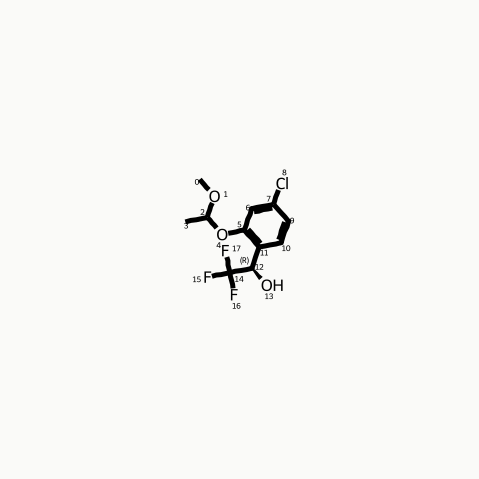 COC(C)Oc1cc(Cl)ccc1[C@@H](O)C(F)(F)F